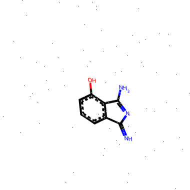 N=C1N=C(N)c2c(O)cccc21